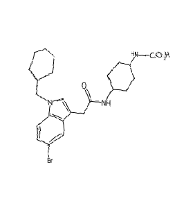 O=C(O)NC1CCC(NC(=O)Cc2cn(CC3CCCCC3)c3ccc(Br)cc23)CC1